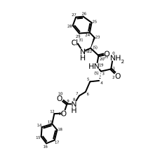 NC(=O)[C@H](CCCCNC(=O)OCc1ccccc1)NC(=O)[C@H](Cc1ccccc1)NCl